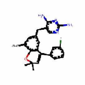 COc1cc(Cc2cnc(N)nc2N)cc2c1OC(C)(C)C=C2c1cccc(F)c1